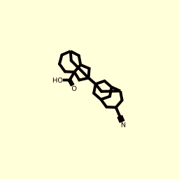 N#CC1CC2CC3CC(C45CC6CCCC(C(=O)O)(C4)C(C6)C5)(C2)CC3C1